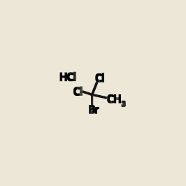 CC(Cl)(Cl)Br.Cl